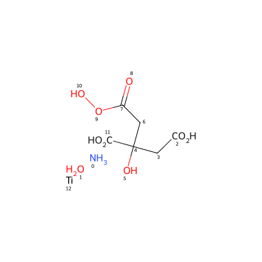 N.O.O=C(O)CC(O)(CC(=O)OO)C(=O)O.[Ti]